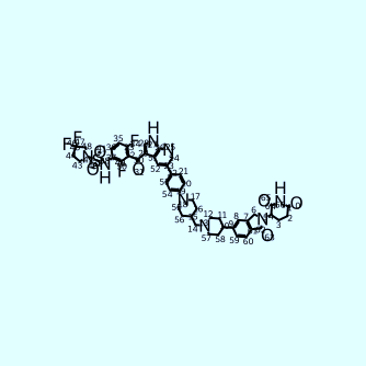 O=C1CCC(N2Cc3cc(C4CCN(CC5CCN(c6ccc(-c7cnc8[nH]cc(C(=O)c9c(F)ccc(NS(=O)(=O)N%10CCC(F)(F)C%10)c9F)c8c7)cc6)CC5)CC4)ccc3C2=O)C(=O)N1